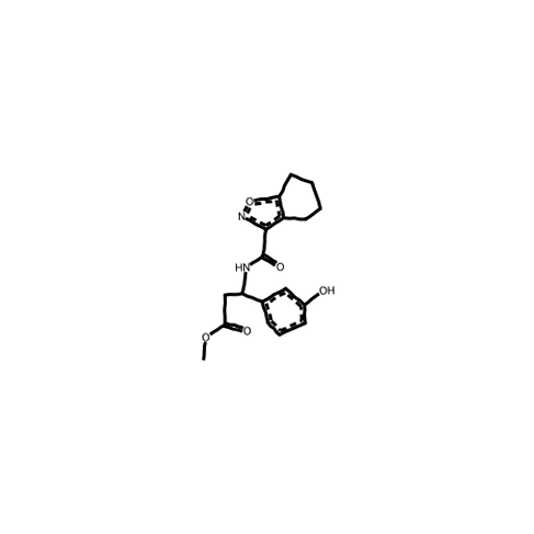 COC(=O)CC(NC(=O)c1noc2c1CCCC2)c1cccc(O)c1